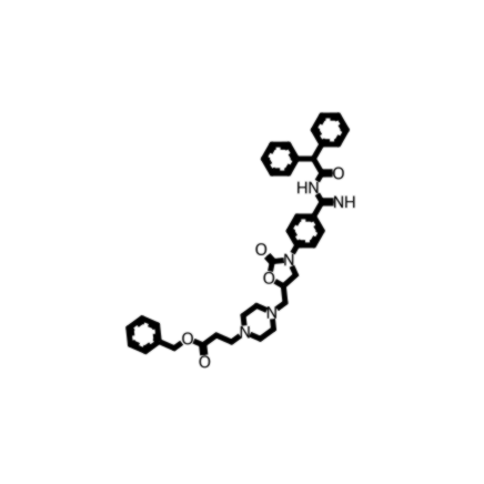 N=C(NC(=O)C(c1ccccc1)c1ccccc1)c1ccc(N2CC(CN3CCN(CCC(=O)OCc4ccccc4)CC3)OC2=O)cc1